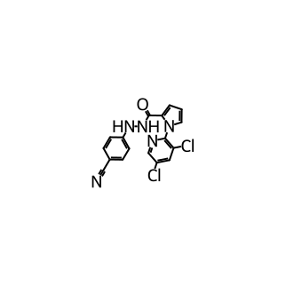 N#Cc1ccc(NNC(=O)c2cccn2-c2ncc(Cl)cc2Cl)cc1